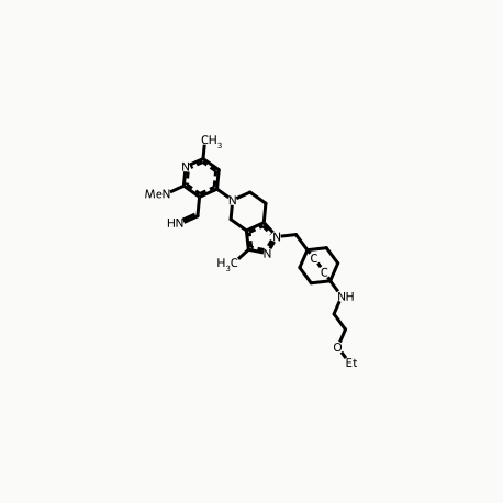 CCOCCNC12CCC(Cn3nc(C)c4c3CCN(c3cc(C)nc(NC)c3C=N)C4)(CC1)CC2